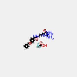 N=C(N)N[C@@H](CCCCNC(=O)Cc1ccc(OCc2ccccc2)cc1)C(N)=O.O=C(O)C(F)(F)F